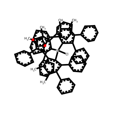 Cc1c(C)c(-c2ccccc2)c([Si](Cl)(c2c(-c3ccccc3)c(C)c(C)c(-c3ccccc3)c2-c2ccccc2)c2c(-c3ccccc3)c(C)c(C)c(-c3ccccc3)c2-c2ccccc2)c(-c2ccccc2)c1-c1ccccc1